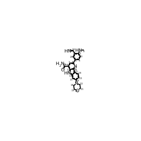 CNc1ccc(-c2cc(C(N)=O)c3[nH]c4cc(N5CCOCC5)ccc4c3n2)cc1C=N